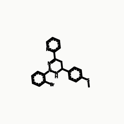 CSc1ccc(C2CC(c3ccccn3)=NN(c3ccccc3Br)N2)cc1